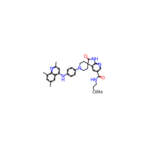 COCCNC(=O)c1cnc2c(c1)C1(CCN(c3ccc(Nc4cc(C)nc5c(C)cc(C)cc45)cc3)CC1)C(=O)N2